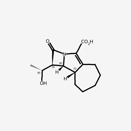 C[C@@H](O)[C@H]1C(=O)N2C(C(=O)O)=C3CCCCC[C@@H]3[C@H]12